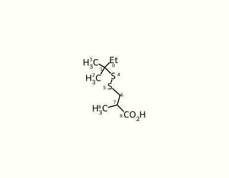 CCC(C)(C)SSCC(C)C(=O)O